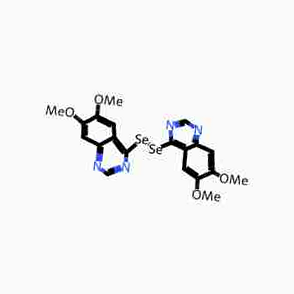 COc1cc2ncnc([Se][Se]c3ncnc4cc(OC)c(OC)cc34)c2cc1OC